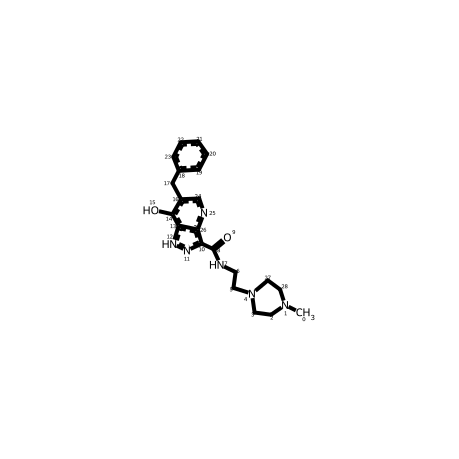 CN1CCN(CCNC(=O)c2n[nH]c3c(O)c(Cc4ccccc4)cnc23)CC1